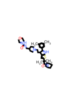 Cc1cc(C)cc(C2Nc3sc(C(C)(C)C(=O)N4C5CCC4CC5)cc3C2CCN2CCC(CNC(=O)N3CCOCC3)CC2)c1